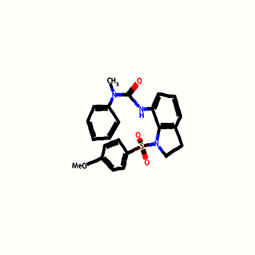 COc1ccc(S(=O)(=O)N2CCc3cccc(NC(=O)N(C)c4ccccc4)c32)cc1